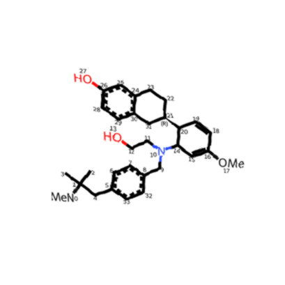 CNC(C)(C)Cc1ccc(CN(CCO)C2C=C(OC)C=CC2[C@@H]2CCc3cc(O)ccc3C2)cc1